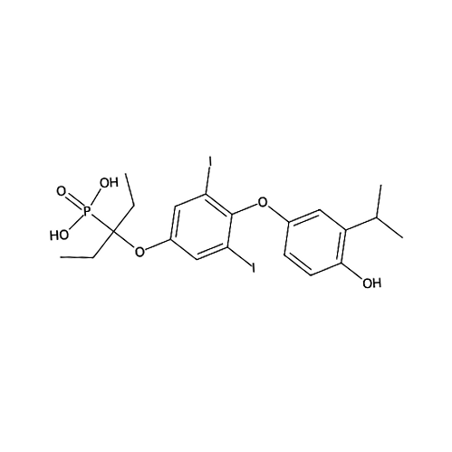 CCC(CC)(Oc1cc(I)c(Oc2ccc(O)c(C(C)C)c2)c(I)c1)P(=O)(O)O